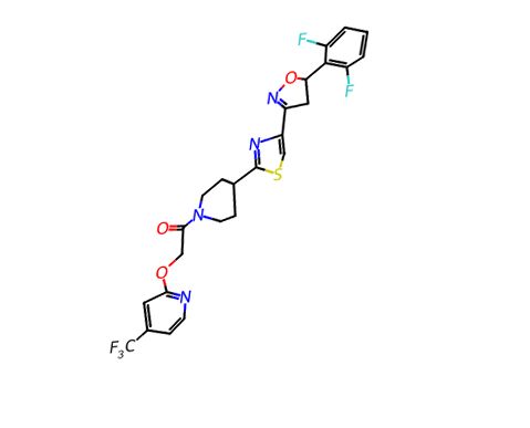 O=C(COc1cc(C(F)(F)F)ccn1)N1CCC(c2nc(C3=NOC(c4c(F)cccc4F)C3)cs2)CC1